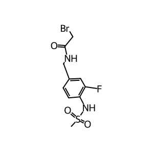 CS(=O)(=O)Nc1ccc(CNC(=O)CBr)cc1F